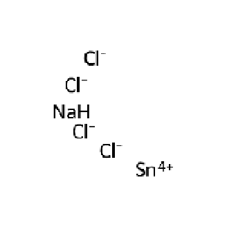 [Cl-].[Cl-].[Cl-].[Cl-].[NaH].[Sn+4]